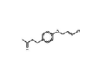 CC(=O)CCc1ccc(OCC=CCl)cc1